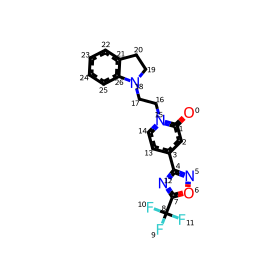 O=c1cc(-c2noc(C(F)(F)F)n2)ccn1CCN1CCc2ccccc21